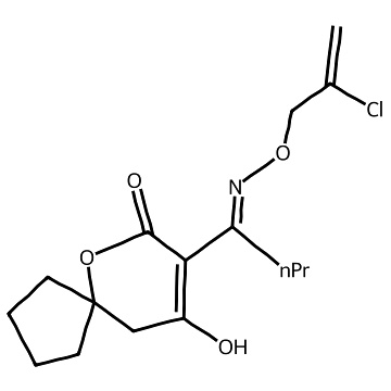 C=C(Cl)CON=C(CCC)C1=C(O)CC2(CCCC2)OC1=O